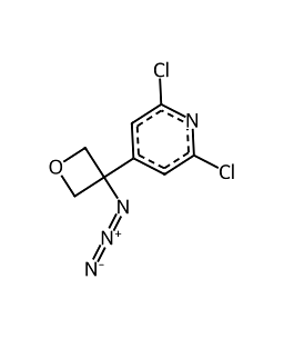 [N-]=[N+]=NC1(c2cc(Cl)nc(Cl)c2)COC1